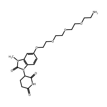 Cn1c(=O)n(C2CCC(=O)NC2=O)c2ccc(OCCOCCOCCOCCN)cc21